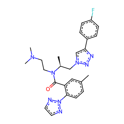 Cc1ccc(-n2nccn2)c(C(=O)N(CCN(C)C)[C@@H](C)Cn2cc(-c3ccc(F)cc3)nn2)c1